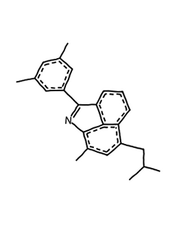 Cc1cc(C)cc(C2=Nc3c(C)cc(CC(C)C)c4cccc2c34)c1